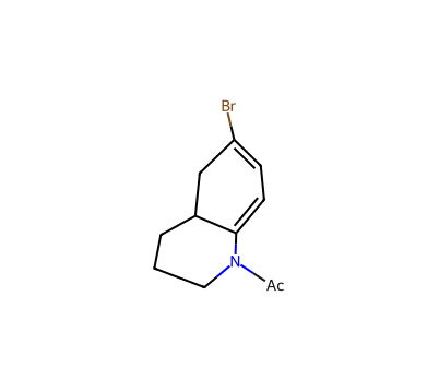 CC(=O)N1CCCC2CC(Br)=CC=C21